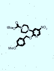 COc1ccc(COc2ncc([N+](=O)[O-])cc2N2CCN(C(=O)OC(C)(C)C)CC2)cc1